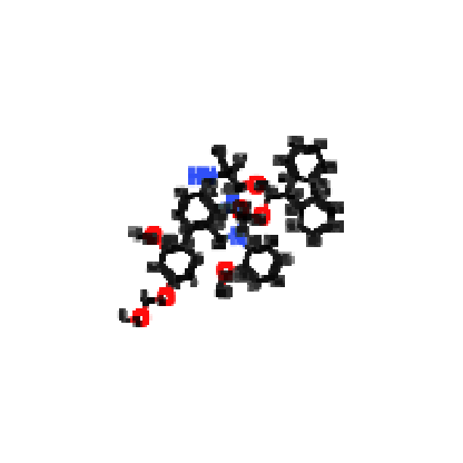 COCOc1ccc(-c2ccc3c(c2CN(C(=O)OCC2c4ccccc4-c4ccccc42)c2ccccc2OC)N(C)C(=O)C(C)(C)N3)c(OC)c1